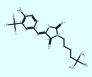 CC(C)(N)CCCCN1C(=O)S/C(=C\c2ccc(O)c(C(F)(F)F)c2)C1=O